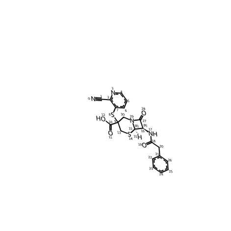 N#Cc1ncccc1SC1(C(=O)O)CS[C@@H]2[C@H](NC(=O)Cc3ccccc3)C(=O)N2C1